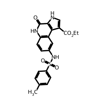 CCOC(=O)c1c[nH]c2c(=O)[nH]c3ccc(NS(=O)(=O)c4ccc(C)cc4)cc3c12